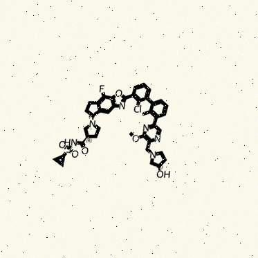 COc1nc(-c2cccc(-c3cccc(-c4nc5cc6c(c(F)c5o4)CC[C@H]6N4CC[C@@H](C(=O)NS(=O)(=O)C5CC5)C4)c3Cl)c2C)cnc1CN1CC[C@@H](O)C1